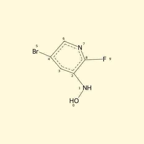 ONc1cc(Br)cnc1F